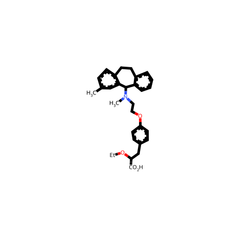 CCOC(Cc1ccc(OCCN(C)C2c3ccccc3CCc3ccc(C)cc32)cc1)C(=O)O